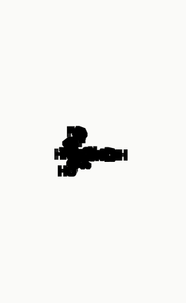 CC(C)[C@@H](C(=O)N1C[C@H](O)C[C@H]1C(=O)N[C@@H](C)c1ccc(-c2c(F)cccc2F)cc1)c1cc(N2CC3(CCNCC3)C2)no1